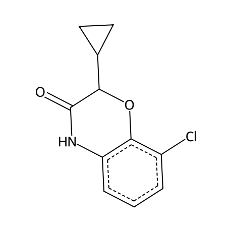 O=C1Nc2cccc(Cl)c2OC1C1CC1